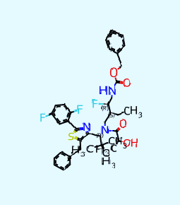 CC[C@@H](CN(C(=O)[C@H](C)O)[C@@H](c1nc(-c2cc(F)ccc2F)sc1Cc1ccccc1)C(C)(C)C)[C@@H](F)CNC(=O)OCc1ccccc1